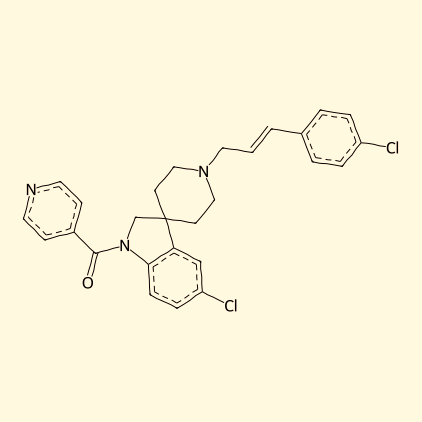 O=C(c1ccncc1)N1CC2(CCN(C/C=C/c3ccc(Cl)cc3)CC2)c2cc(Cl)ccc21